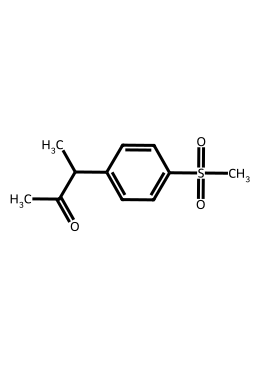 CC(=O)C(C)c1ccc(S(C)(=O)=O)cc1